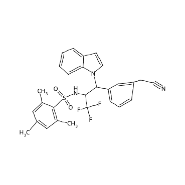 Cc1cc(C)c(S(=O)(=O)NC(C(c2cccc(CC#N)c2)n2ccc3ccccc32)C(F)(F)F)c(C)c1